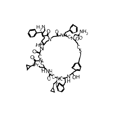 CC(C)C[C@H]1CN(C(=O)CC2CC2)CC(=O)N[C@@H](CCCCN)CN(C(=O)CCc2ccccc2)CC(=O)NC(Cc2ccccc2)CN(CC(N)=O)C(=O)CCSCc2ccc(cc2)C(O)NC(Cc2ccccc2)CN(C(=O)CC2CC2)CC(=O)N1